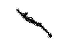 C=CC(=O)OCCCCCCCCCCCOc1ccc(OCc2ccc(OC(=O)c3ccc(OC(CCCCCCCCCC)OC(=O)C=C)cc3)cc2)cc1